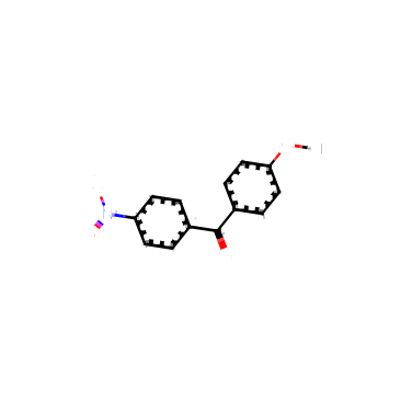 COc1ccc(C(=O)c2ccc([N+](=O)[O-])cc2)cc1